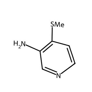 CSc1ccncc1N